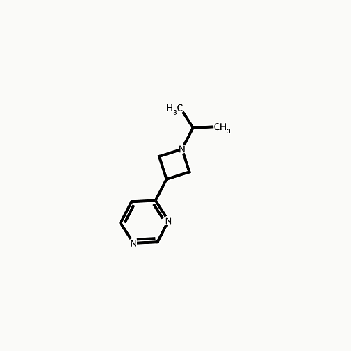 CC(C)N1CC(c2ccncn2)C1